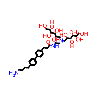 NCCCCc1ccc(-c2ccc(CCC(=O)NCCN(C[C@H](O)[C@@H](O)[C@H](O)[C@H](O)CO)C[C@H](O)[C@@H](O)[C@H](O)[C@H](O)CO)cc2)cc1